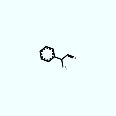 CC([C]=O)c1ccccc1